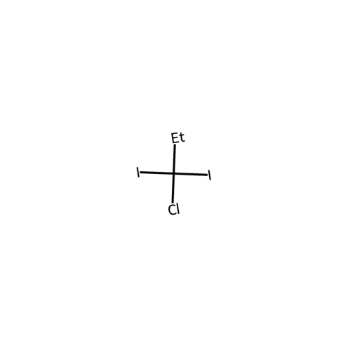 CCC(Cl)(I)I